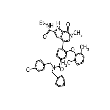 CCNC(=O)c1cc2c(-c3ccc(C(=O)N(Cc4ccccc4)Cc4ccc(Cl)cc4)cc3Oc3c(C)cccc3C)cn(C)c(=O)c2[nH]1